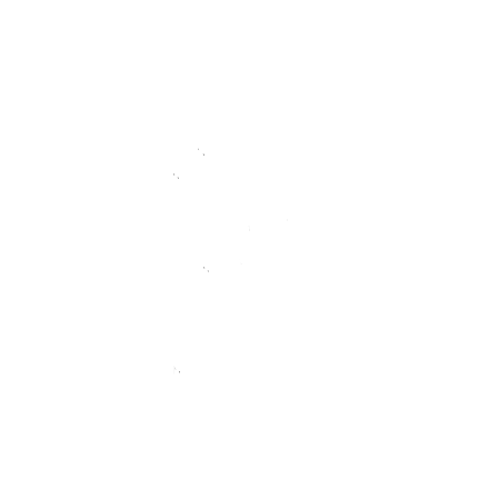 CC(CC(=N)C(=O)c1cnn(C)c1-c1ccccc1)c1cccnc1